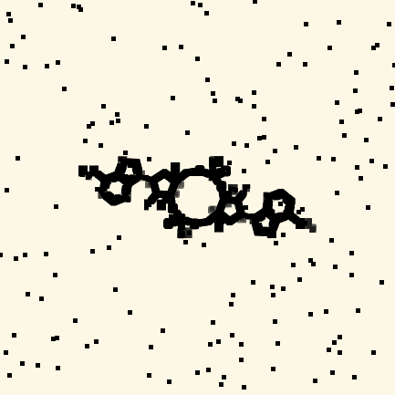 Nc1ccnc2c1ncn2[C@@H]1C[C@@H]2COP(=O)(S)O[C@@H]3C(F)[C@H](n4cnc5c(N)ncnc54)C[C@@H]3COP(=O)(S)O[C@@H]2C1F